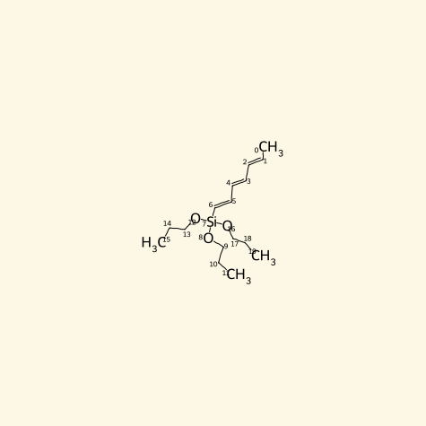 CC=CC=CC=C[Si](OCCC)(OCCC)OCCC